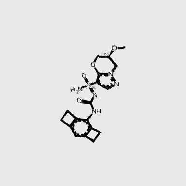 CO[C@@H]1COc2c([S@@](N)(=O)=NC(=O)Nc3c4c(cc5c3CC5)CC4)cnn2C1